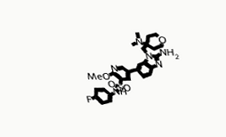 COc1ncc(-c2ccc3nc(N)n(CC4(N(C)C)CCOCC4)c3c2)cc1S(=O)(=O)Nc1ccc(F)cc1